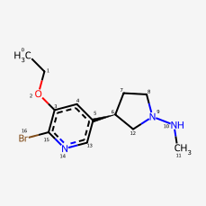 CCOc1cc([C@H]2CCN(NC)C2)cnc1Br